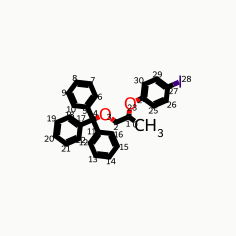 CC(COC(c1ccccc1)(c1ccccc1)c1ccccc1)Oc1ccc(I)cc1